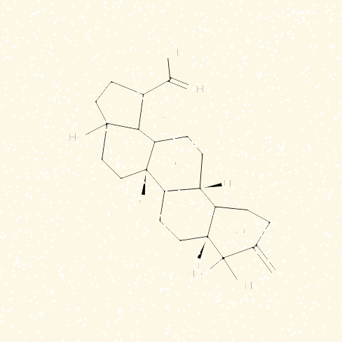 C=C(C)C1CCC2(C=O)CC[C@]3(C)[C@H](CC[C@@H]4[C@@]5(C)CCC(=O)C(C)(C)[C@@H]5CC[C@]43C)C12